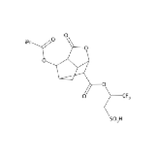 CC(C)C(=O)OC1C2CC3C(OC(=O)C31)C2C(=O)OC(CS(=O)(=O)O)C(F)(F)F